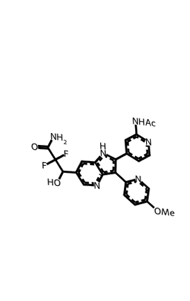 COc1ccc(-c2c(-c3ccnc(NC(C)=O)c3)[nH]c3cc(C(O)C(F)(F)C(N)=O)cnc23)nc1